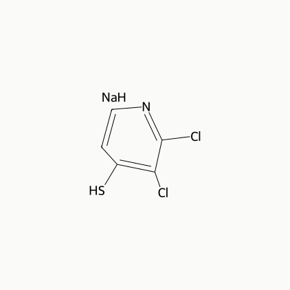 Sc1ccnc(Cl)c1Cl.[NaH]